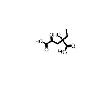 CCC(O)(CC(=O)C(=O)O)C(=O)O